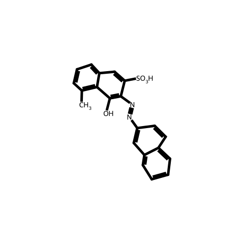 Cc1cccc2cc(S(=O)(=O)O)c(N=Nc3ccc4ccccc4c3)c(O)c12